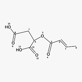 CC=CC(=O)OC(CC(=O)O)C(=O)O